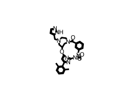 Cc1cccc(C)c1-c1cc2nc(n1)NS(=O)(=O)c1cccc(c1)C(=O)N1CCN(Cc3ccn[nH]3)CC(C1)O2